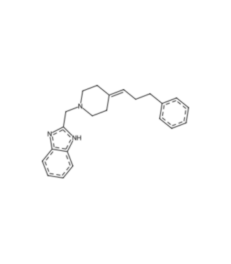 C(CCc1ccccc1)=C1CCN(Cc2nc3ccccc3[nH]2)CC1